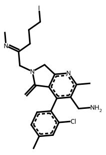 C=C1c2c(nc(C)c(CN)c2-c2ccc(C)cc2Cl)CN1C/C(CCCI)=N/C